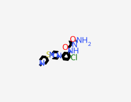 CN1CCC(SN2CCN(c3ccc(Cl)c(NC(=O)c4coc(N)n4)c3)CC2)CC1